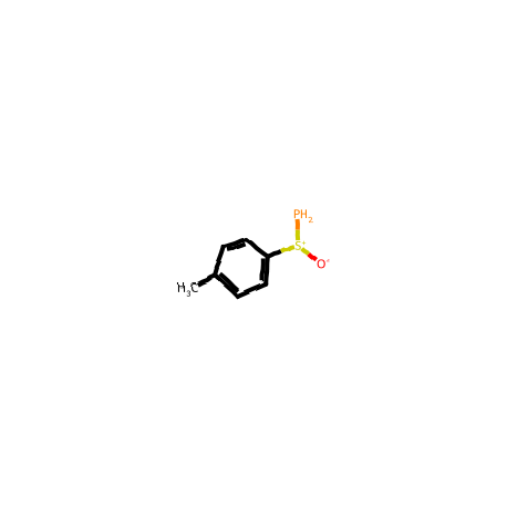 Cc1ccc([S+]([O-])P)cc1